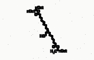 CCCCCCCCC(CCCCCCCC)OC(=O)CCCCCCCCCN(CCO)CCCCCCCC(=O)O[C@H](C)CCCCCCCC